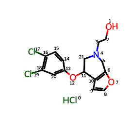 Cl.OCCN1Cc2occc2C(Oc2ccc(Cl)c(Cl)c2)C1